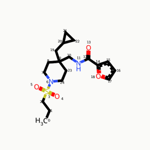 CCCS(=O)(=O)N1CCC(CNC(=O)c2ccco2)(CC2CC2)CC1